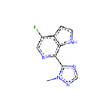 Cn1ncnc1-c1ncc(F)c2cc[nH]c12